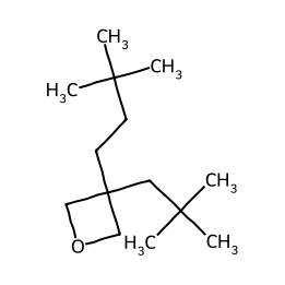 CC(C)(C)CCC1(CC(C)(C)C)COC1